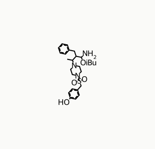 CC(C)COC(N)C(Cc1ccccc1)C(C)N1CCN(S(=O)(=O)Cc2ccc(O)cc2)CC1